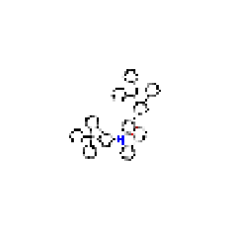 c1ccc(-c2ccccc2N(c2ccc(-c3ccc4c(c3)c(-c3ccccc3)c(-c3ccccc3)c3ccccc34)cc2)c2ccc3c(c2)-c2ccccc2C3(c2ccccc2)c2ccccc2)cc1